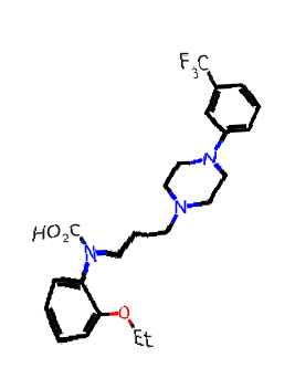 CCOc1ccccc1N(CCCN1CCN(c2cccc(C(F)(F)F)c2)CC1)C(=O)O